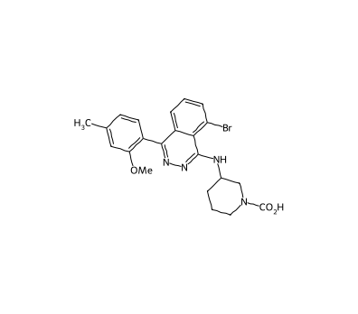 COc1cc(C)ccc1-c1nnc(NC2CCCN(C(=O)O)C2)c2c(Br)cccc12